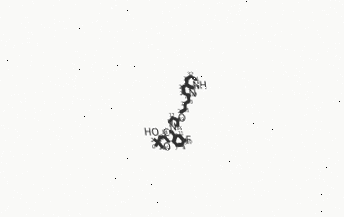 CC1(C)CC[C@H](c2ccc(F)cc2C(C(=O)O)N2CC[C@@H](OCCCCc3ccc4c(n3)NCCC4)C2)OC1